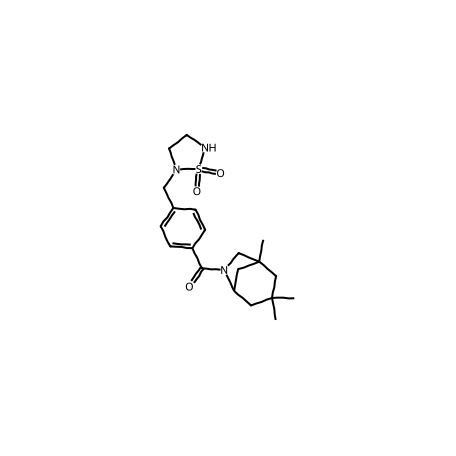 CC1(C)CC2CC(C)(CN2C(=O)c2ccc(CN3CCNS3(=O)=O)cc2)C1